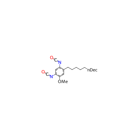 CCCCCCCCCCCCCCCc1cc(OC)c(N=C=O)cc1N=C=O